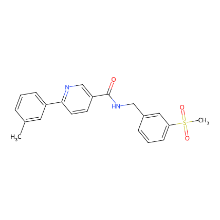 Cc1cccc(-c2ccc(C(=O)NCc3cccc(S(C)(=O)=O)c3)cn2)c1